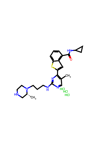 Cc1cnc(NCCCN2CCNC[C@H]2C)nc1-c1cc2c(C(=O)NC3CC3)cccc2s1.Cl.Cl.Cl